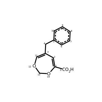 O=C(O)C1=CC(Cc2ccccc2)=COCO1